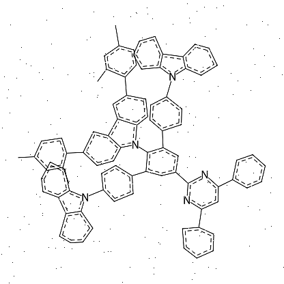 Cc1ccc(-c2ccc3c(c2)c2cc(-c4ccc(C)cc4C)ccc2n3-c2c(-c3ccc(-n4c5ccccc5c5ccccc54)cc3)cc(-c3nc(-c4ccccc4)cc(-c4ccccc4)n3)cc2-c2ccc(-n3c4ccccc4c4ccccc43)cc2)c(C)c1